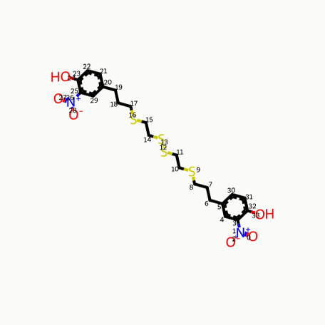 O=[N+]([O-])c1cc(CCCSCCSSCCSCCCc2ccc(O)c([N+](=O)[O-])c2)ccc1O